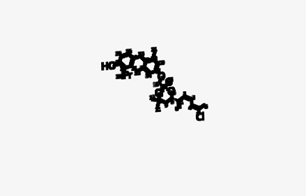 C=C(/C=C\C=C(/C)Cl)[C@@H]1CC(C)(C)O[P@](=O)(COc2cc(C)c(Cc3ccc(O)c(C(C)C)c3)c(C)c2)O1